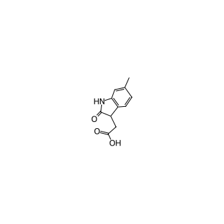 Cc1ccc2c(c1)NC(=O)C2CC(=O)O